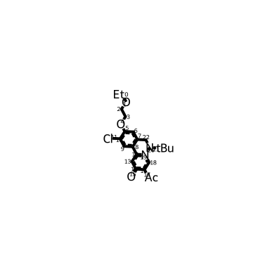 CCOCCOc1cc2c(cc1Cl)-c1cc(=O)c(C(C)=O)cn1N(C(C)(C)C)C2